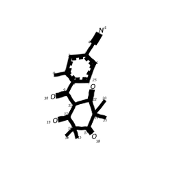 Cc1cc(C#N)ccc1C(=O)C1C(=O)C(C)(C)C(=O)C(C)(C)C1=O